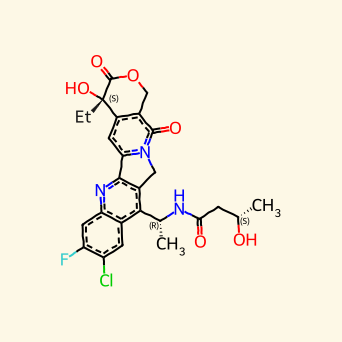 CC[C@@]1(O)C(=O)OCc2c1cc1n(c2=O)Cc2c-1nc1cc(F)c(Cl)cc1c2[C@@H](C)NC(=O)C[C@H](C)O